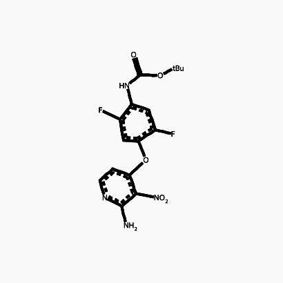 CC(C)(C)OC(=O)Nc1cc(F)c(Oc2ccnc(N)c2[N+](=O)[O-])cc1F